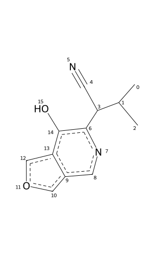 CC(C)C(C#N)c1ncc2cocc2c1O